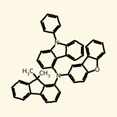 CC1(C)c2ccccc2-c2cccc(N(c3ccc4oc5ccccc5c4c3)c3cccc4c3c3ccccc3n4-c3ccccc3)c21